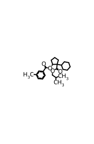 Cc1cccc(C(=O)OC2CCCC2(C(=O)OCC(C)C)C2CCCCC2)c1